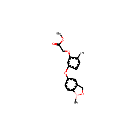 CCCB1OCc2cc(Oc3ccc(C#N)c(OCC(=O)OC(C)(C)C)c3)ccc21